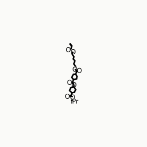 C=CC(=O)OCCCCCCOC(=O)C1CCC(C(=O)OC2CCC(C(=O)OC(C)C)CC2)CC1